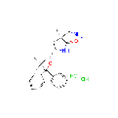 CC(C)(C)[Si](OC[C@@H]1C[C@@](C)(CN)C(=O)N1)(c1ccccc1)c1ccccc1.Cl.Cl